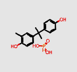 Cc1cc(C(C)(C)c2ccc(O)cc2)ccc1O.O=[PH](O)O